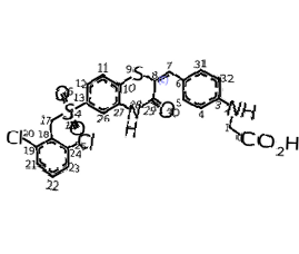 O=C(O)CNc1ccc(/C=C2/Sc3ccc(S(=O)(=O)Cc4c(Cl)cccc4Cl)cc3NC2=O)cc1